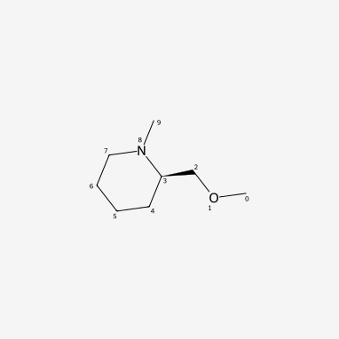 COC[C@H]1CCCCN1C